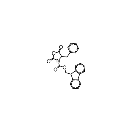 O=C1OC(=O)N(C(=O)OCC2c3ccccc3-c3ccccc32)C1Cc1ccccc1